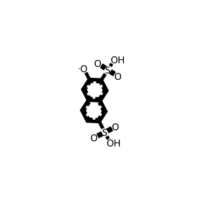 [O]c1cc2ccc(S(=O)(=O)O)cc2cc1S(=O)(=O)O